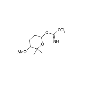 COC1CCC(OC(=N)C(Cl)(Cl)Cl)OC1(C)C